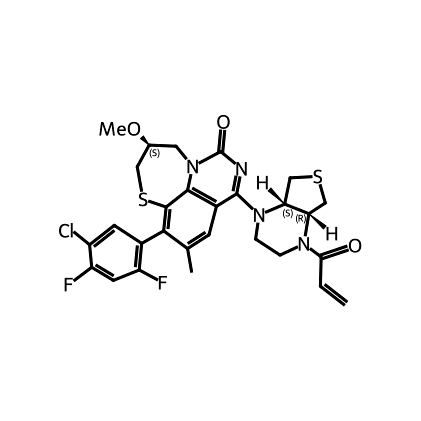 C=CC(=O)N1CCN(c2nc(=O)n3c4c(c(-c5cc(Cl)c(F)cc5F)c(C)cc24)SC[C@@H](OC)C3)[C@@H]2CSC[C@@H]21